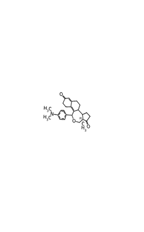 CN(C)c1ccc(C2OC[C@]3(C)C(=O)CCC3C3CCC4=CC(=O)CCC4=C23)cc1